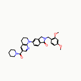 COc1ccc(CN2Cc3cc(N4CCCc5cc(C(=O)N6CCCCC6)cnc54)ccc3C2=O)c(OC)c1